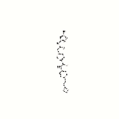 CC(C)(C)c1cc(NC(=O)Cc2ccc(C(=O)Nc3ccc(OCC4CCC4)cc3)cc2)no1